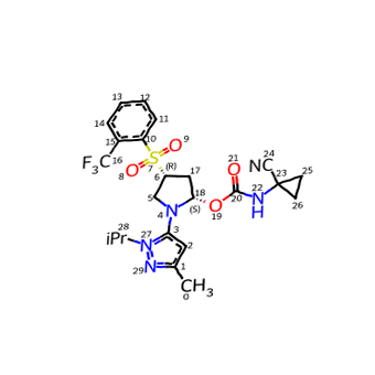 Cc1cc(N2C[C@H](S(=O)(=O)c3ccccc3C(F)(F)F)C[C@@H]2OC(=O)NC2(C#N)CC2)n(C(C)C)n1